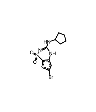 O=S1(=O)N=C(NC2CCCC2)Nc2cc(Br)sc21